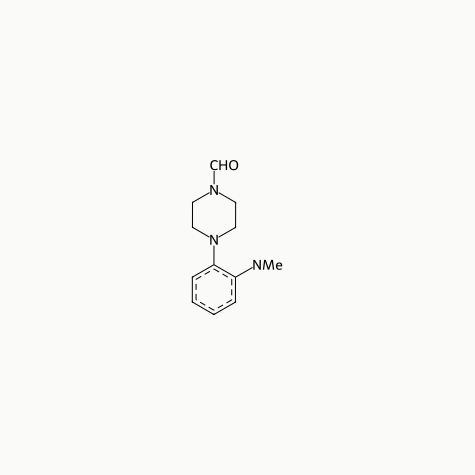 CNc1ccccc1N1CCN(C=O)CC1